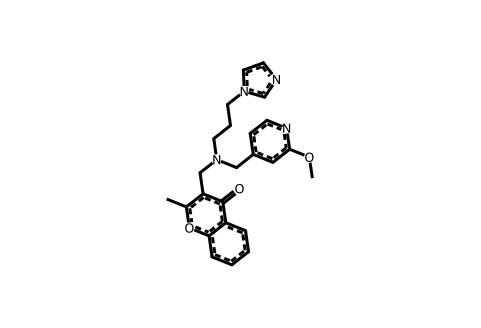 COc1cc(CN(CCCn2ccnc2)Cc2c(C)oc3ccccc3c2=O)ccn1